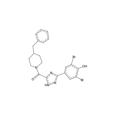 O=C(c1nc(-c2cc(Br)c(O)c(Br)c2)n[nH]1)N1CCC(Cc2ccccc2)CC1